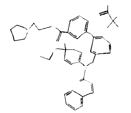 CCOC1(O)C=CC(N(Cc2cccc(-c3cccc(C(=O)NCCN4CCCC4)c3)c2)C(=O)C=Cc2ccccc2)=CC1.O=C(O)C(F)(F)F